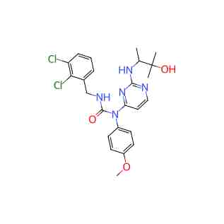 COc1ccc(N(C(=O)NCc2cccc(Cl)c2Cl)c2ccnc(NC(C)C(C)(C)O)n2)cc1